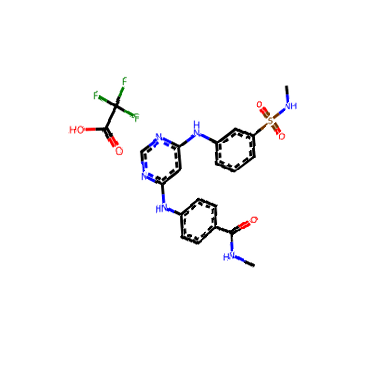 CNC(=O)c1ccc(Nc2cc(Nc3cccc(S(=O)(=O)NC)c3)ncn2)cc1.O=C(O)C(F)(F)F